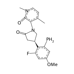 COc1cc(F)c([C@H]2CC(=O)N(c3c(C)ccn(C)c3=O)C2)c(P)c1